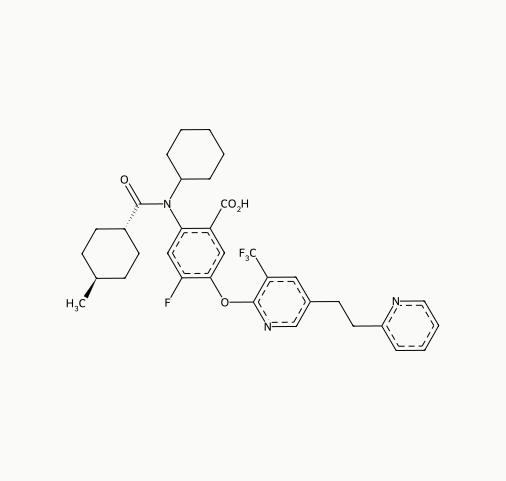 C[C@H]1CC[C@H](C(=O)N(c2cc(F)c(Oc3ncc(CCc4ccccn4)cc3C(F)(F)F)cc2C(=O)O)C2CCCCC2)CC1